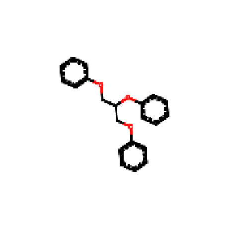 c1ccc(OCC(COc2ccccc2)Oc2ccccc2)cc1